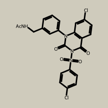 CC(=O)NCc1cccc(-n2c(=O)n(S(=O)(=O)c3ccc(Cl)cc3)c(=O)c3ccc(Cl)cc32)c1